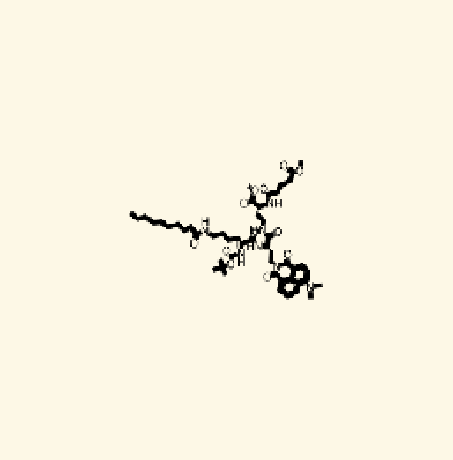 CCCCCCCCCC(=O)NCCCC[C@H](NC(=O)OC(C)(C)C)C(=O)N[C@H](CCN1C(=O)c2cccc3c(N(C)C)ccc(c23)C1=O)C(=O)NCC[C@@H](NC(=O)CCCC(=O)OC)C(=O)OC